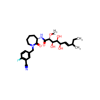 CCC(C)/C=C/[C@@H](O)[C@H](O)[C@@H](O)[C@@H](OC)C(=O)N[C@H]1CCCCN(Cc2ccc(F)c(C#N)c2)C1=O